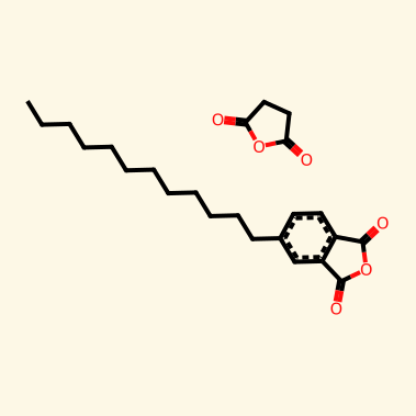 CCCCCCCCCCCCc1ccc2c(c1)C(=O)OC2=O.O=C1CCC(=O)O1